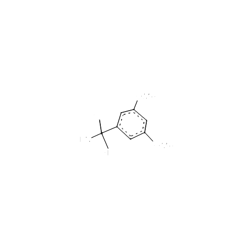 [2H]C([2H])(N)c1cc(OC)cc(OC)c1